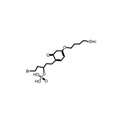 CCCCCCCCCCCCCCOC1=CC=C(CCC(CCBr)OP(=O)(O)O)C(=O)C1